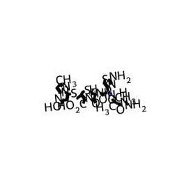 Cc1cc2nc(CO)cc(SCC3=C(C(=O)O)N4C(=O)C(NC(=O)/C(=N\OC(C)(C)C(=O)NN)c5csc(N)n5)[C@H]4SC3)n2n1